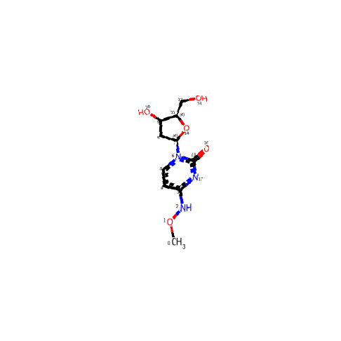 CONc1ccn([C@H]2CC(O)[C@@H](CO)O2)c(=O)n1